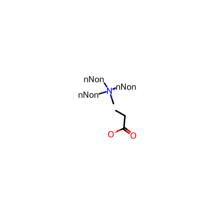 CCC(=O)[O-].CCCCCCCCC[N+](C)(CCCCCCCCC)CCCCCCCCC